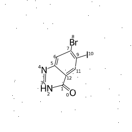 O=c1[nH]cnc2cc(Br)c(I)cc12